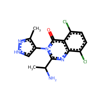 Cc1n[nH]cc1-n1c(C(C)N)nc2c(Cl)ccc(Cl)c2c1=O